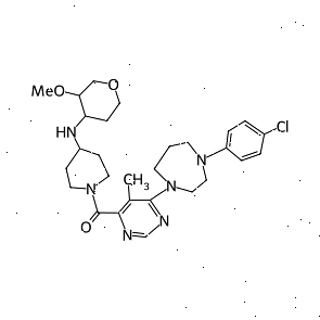 COC1COCCC1NC1CCN(C(=O)c2ncnc(N3CCCN(c4ccc(Cl)cc4)CC3)c2C)CC1